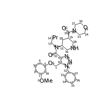 COc1cccc(OCc2c(C(=O)N(CC(C)C)[C@@H]3CNC[C@H](C(=O)N4CCOCC4)C3)nnn2-c2ccccc2)c1